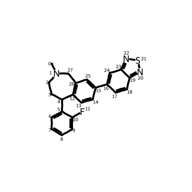 CN1CCC(c2ccccc2F)c2ccc(-c3ccc4nsnc4c3)cc2C1